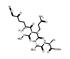 CC[C@H](C)[C@H](NC(=O)[C@H](CCC(N)=O)N(C(=O)OC(C)(C)C)C(=O)[C@@H](N)CCC(=O)C=[N+]=[N-])C(=O)N[C@H](C(=O)OC)C(C)C